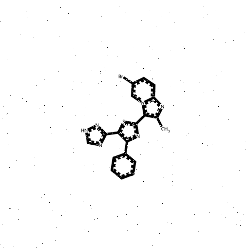 Cc1nc2ccc(Br)cn2c1-c1nc(-c2ccccc2)c(-c2nc[nH]n2)s1